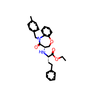 CCOC(=O)[C@H](CCc1ccccc1)N[C@H]1COc2ccccc2N(Cc2ccc(C)cc2)C1=O